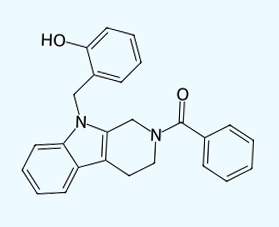 O=C(c1ccccc1)N1CCc2c(n(Cc3ccccc3O)c3ccccc23)C1